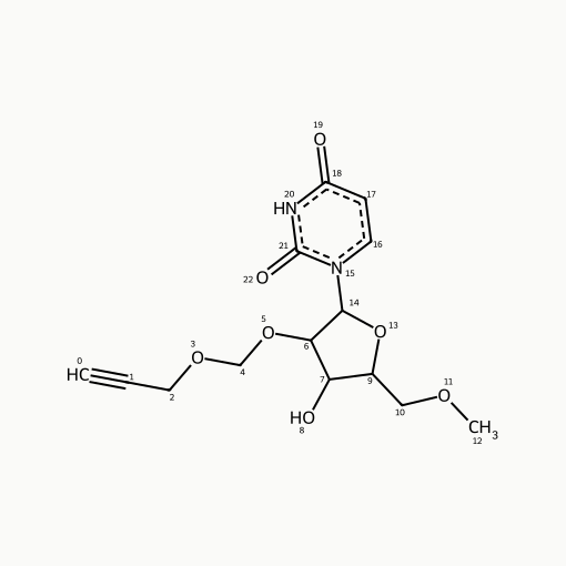 C#CCOCOC1C(O)C(COC)OC1n1ccc(=O)[nH]c1=O